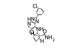 NC(=O)[C@@H]1C(Nc2c(Cl)cnc3[nH]c(-c4cccc(Cl)c4)nc23)[C@H]2C=C[C@@H]1C2